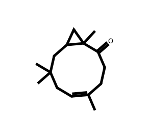 C/C1=C/CC(C)(C)CC2CC2(C)C(=O)CC1